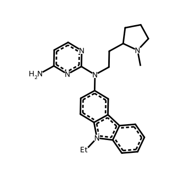 CCn1c2ccccc2c2cc(N(CCC3CCCN3C)c3nccc(N)n3)ccc21